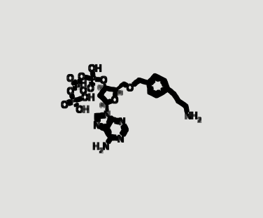 NCCCc1ccc(COC[C@H]2O[C@@H](n3cnc4c(N)ncnc43)C[C@@H]2OP(=O)(O)OP(=O)(O)OP(=O)(O)O)cc1